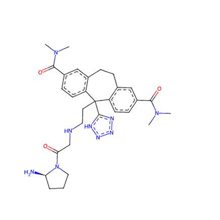 CN(C)C(=O)c1ccc2c(c1)CCc1cc(C(=O)N(C)C)ccc1C2(CCNCC(=O)N1CCC[C@H]1N)c1nnn[nH]1